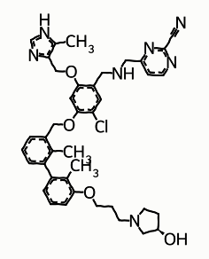 Cc1[nH]cnc1COc1cc(OCc2cccc(-c3cccc(OCCCN4CC[C@@H](O)C4)c3C)c2C)c(Cl)cc1CNCc1ccnc(C#N)n1